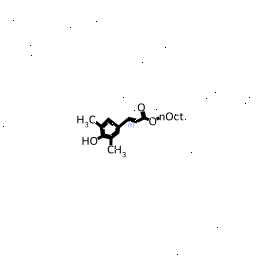 CCCCCCCCOC(=O)/C=C/c1cc(C)c(O)c(C)c1